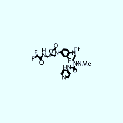 CCN(CCN(NC)C(=O)Nc1ccncc1)c1ccc(N2C[C@H](CNC(=O)C(F)F)OC2=O)cc1F